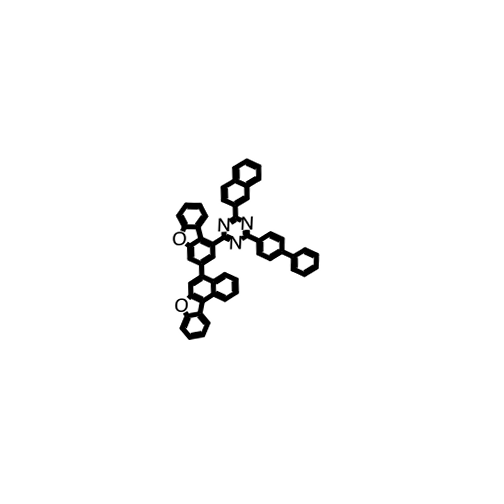 c1ccc(-c2ccc(-c3nc(-c4ccc5ccccc5c4)nc(-c4cc(-c5cc6oc7ccccc7c6c6ccccc56)cc5oc6ccccc6c45)n3)cc2)cc1